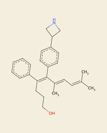 CC(C)=C/C=C(C)/C(=C(\CCCO)c1ccccc1)c1ccc(C2CNC2)cc1